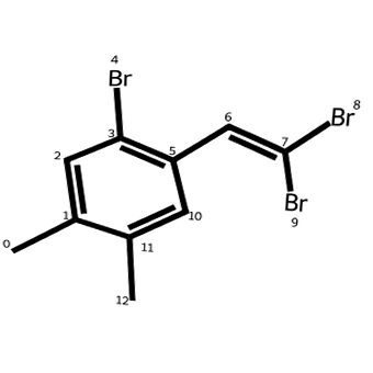 Cc1cc(Br)c(C=C(Br)Br)cc1C